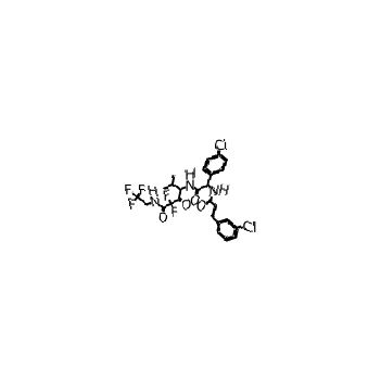 CC(C)C(NC(=O)C(NC(=O)C=Cc1cccc(Cl)c1)c1ccc(Cl)cc1)C(=O)C(F)(F)C(=O)NCC(F)(F)F